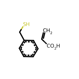 C=CC(=O)O.SCc1ccccc1